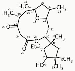 CC[C@H]1C(O)C(C)(C)C[C@@]1(C)[C@H]1CC2O[C@](C)(CC2C)C[C@@H](C)C(=O)CC(=O)O1